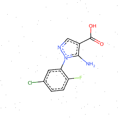 Nc1c(C(=O)O)cnn1-c1cc(Cl)ccc1F